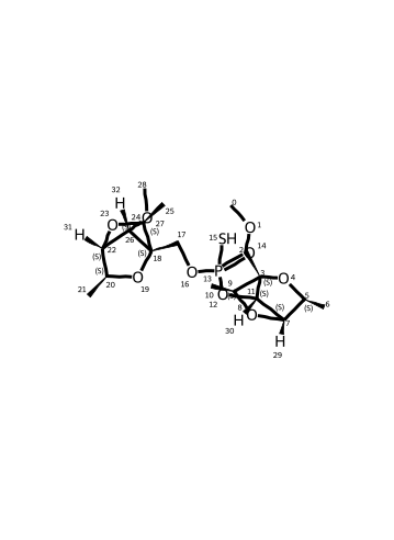 COC[C@]12O[C@@H](C)[C@H](O[C@H]1C)[C@@H]2OP(=O)(S)OC[C@]12O[C@@H](C)[C@H](O[C@H]1C)[C@@H]2OC